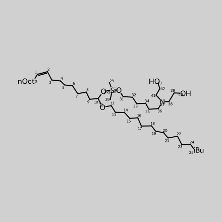 CCCCCCCC/C=C\CCCCCCCC(OCCCCCCCCCCCCCC(C)CC)O[Si](C)(C)OCCCCCCN(CCO)CCO